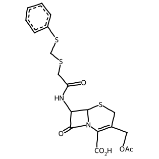 CC(=O)OCC1=C(C(=O)O)N2C(=O)C(NC(=O)CSCSc3ccccc3)C2SC1